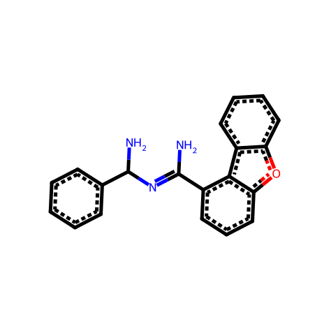 N/C(=N\C(N)c1ccccc1)c1cccc2oc3ccccc3c12